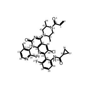 C=CC(=O)N1CC(C)N(c2nc(=O)n(-c3c(C)ccnc3C(C)C)c3nc(-c4c(F)cccc4NC(=O)C4CC4)c(Cl)cc23)CC1C